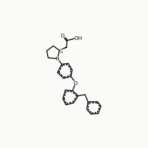 O=C(O)C[C@@H]1CCCN1c1ccc(Oc2ccccc2Cc2ccccc2)cc1